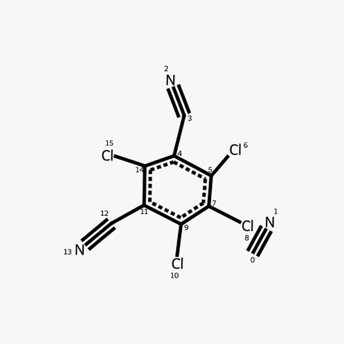 C#N.N#Cc1c(Cl)c(Cl)c(Cl)c(C#N)c1Cl